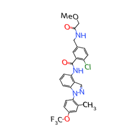 COCC(=O)NCc1ccc(Cl)c(C(=O)Nc2cccc3c2cnn3-c2ccc(OC(F)(F)F)cc2C)c1